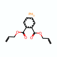 C=CCOC(=O)c1ccccc1C(=O)OCC=C.P